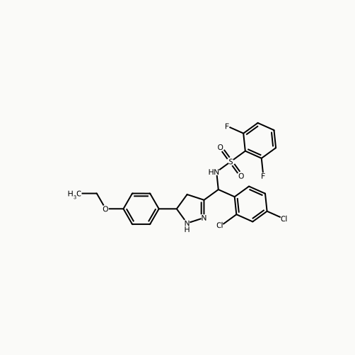 CCOc1ccc(C2CC(C(NS(=O)(=O)c3c(F)cccc3F)c3ccc(Cl)cc3Cl)=NN2)cc1